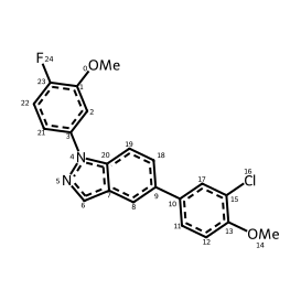 COc1cc(-n2ncc3cc(-c4ccc(OC)c(Cl)c4)ccc32)ccc1F